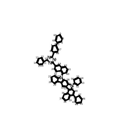 c1ccc(-c2ccc(-c3nc(-c4ccccc4)nc(-c4ccc5c(-n6c7ccccc7c7cc8c9c%10ccccc%10c(-c%10ccccc%10)cc9n(-c9ccccc9)c8cc76)cccc5c4)n3)cc2)cc1